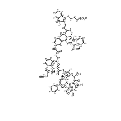 CCCCCN1/C(=C/C=C2\CCCC(/C=C/C3=[N+](CCCCS(=O)(=O)O)c4ccccc4C3(C)C)=C2Sc2ccc(NC(=O)CCC(=O)O[C@@H](C(=O)O[C@H]3C[C@@]4(O)[C@@H](OC(=O)c5ccccc5)[C@@H]5[C@]6(OC(C)=O)CO[C@@H]6C[C@H](O)[C@@]5(C)C(=O)[C@H](O)C(=C3C)C4(C)C)[C@@H](NC(=O)OC(C)(C)C)c3ccccc3)cc2)C(C)(C)c2ccccc21